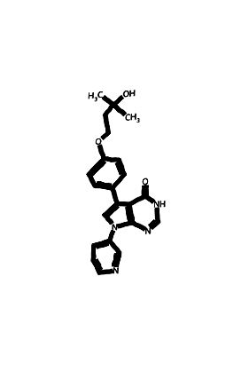 CC(C)(O)CCOc1ccc(-c2cn(-c3cccnc3)c3nc[nH]c(=O)c23)cc1